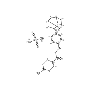 CN1CCN(C(=O)COc2ccc(C34CC5CC(CC(C5)C3)C4)cc2)CC1.O=S(=O)(O)O